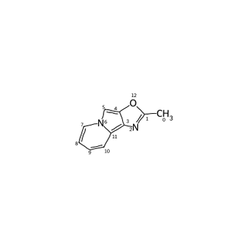 Cc1nc2c(cn3ccccc23)o1